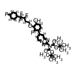 Cc1ccc(-c2ccn3nc(N(C(=O)OC(C)(C)C)C(=O)OC(C)(C)C)nc3c2)c(F)c1OCCC(F)C(F)(F)c1ccc(F)cc1